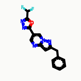 FC(F)c1nnc(-c2cnc3cc(Cc4ccccc4)nn3c2)o1